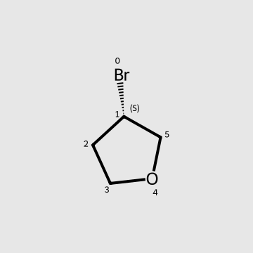 Br[C@H]1CCOC1